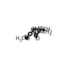 Cc1coc(C2CCC(c3nnc4n3-c3ccc(Cl)cc3CN(C(=O)OC(C)(C)C)C4)CC2)n1